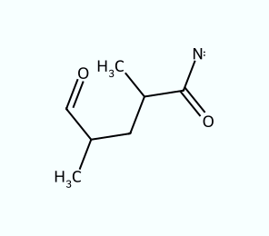 CC(C=O)CC(C)C([N])=O